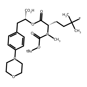 CN(C(=O)OC(C)(C)C)[C@@H](CCC(C)(C)F)C(=O)O[C@H](Cc1ccc(N2CCOCC2)cc1)C(=O)O